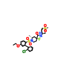 CCOc1ccc(S(=O)(=O)N2CC[C@@](F)(C(=O)N[C@H](C)/C=C\S(C)(=O)=O)C[C@H]2C)c(-c2ccccc2Cl)c1